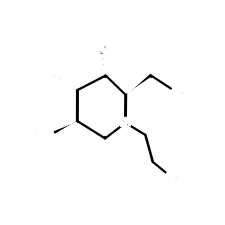 OCCN1C[C@@H](O)[C@H](O)[C@H](O)[C@H]1CO